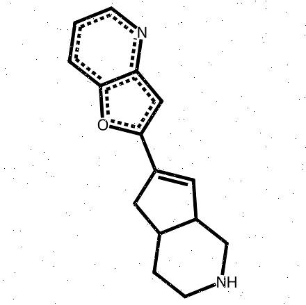 C1=C(c2cc3ncccc3o2)CC2CCNCC12